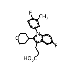 Cc1cc(-n2c(C3CCOCC3)c(CCC(=O)O)c3cc(F)ccc32)ccc1F